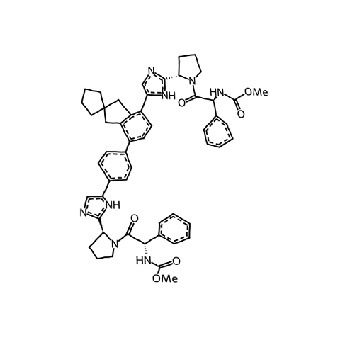 COC(=O)N[C@H](C(=O)N1CCC[C@H]1c1ncc(-c2ccc(-c3ccc(-c4cnc([C@@H]5CCCN5C(=O)[C@@H](NC(=O)OC)c5ccccc5)[nH]4)c4c3CC3(CCCC3)C4)cc2)[nH]1)c1ccccc1